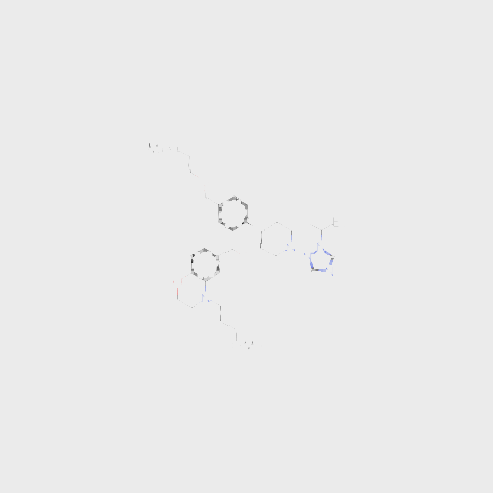 CCC(C[C@H]1C[C@H](c2ccc(COCCOC)cc2)[C@@H](OCc2ccc3c(c2)N(CCCOC)CCO3)CN1)n1cncn1